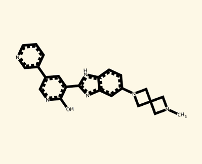 CN1CC2(C1)CN(c1ccc3[nH]c(-c4cc(-c5cccnc5)cnc4O)nc3c1)C2